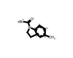 CCCCC(=O)N1CCc2cc(C)ccc21